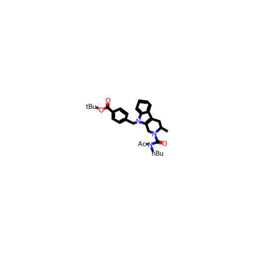 CCCCN(C(C)=O)C(=O)N1Cc2c(c3ccccc3n2Cc2ccc(C(=O)OC(C)(C)C)cc2)CC1C